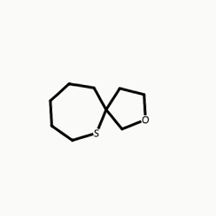 C1CCSC2(CC1)CCOC2